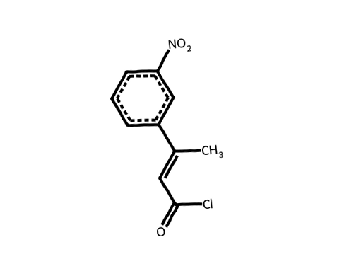 C/C(=C\C(=O)Cl)c1cccc([N+](=O)[O-])c1